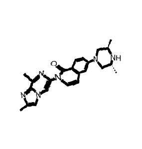 Cc1cn2cc(-n3ccc4cc(N5C[C@@H](C)N[C@H](C)C5)ccc4c3=O)nc(C)c2n1